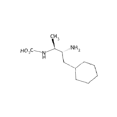 C[C@H](NC(=O)O)[C@H](N)CC1CCCCC1